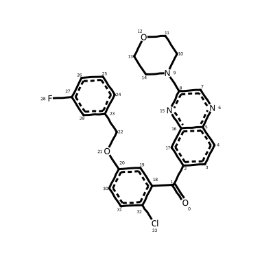 O=C(c1ccc2ncc(N3CCOCC3)nc2c1)c1cc(OCc2cccc(F)c2)ccc1Cl